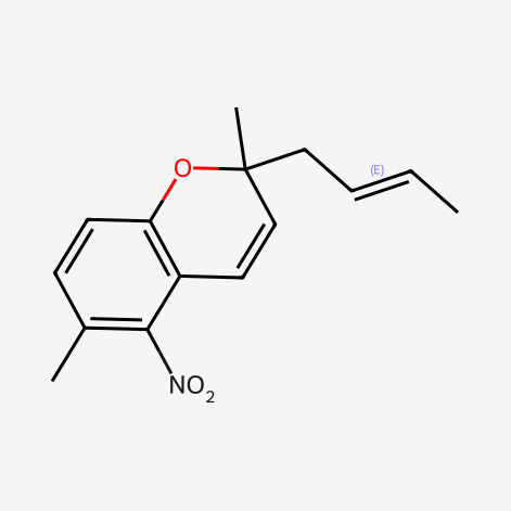 C/C=C/CC1(C)C=Cc2c(ccc(C)c2[N+](=O)[O-])O1